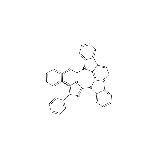 c1ccc(-c2nc(-n3c4ccccc4c4ccc5c6ccccc6n(-c6ccccc6)c5c43)oc2-c2ccccc2)cc1